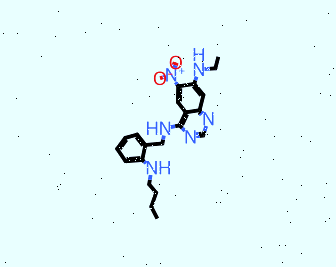 CCCCNc1ccccc1CNc1ncnc2cc(NCC)c([N+](=O)[O-])cc12